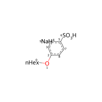 CCCCCCOc1ccc(S(=O)(=O)O)cc1.[NaH]